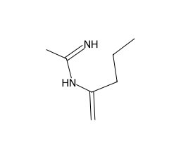 C=C(CCC)NC(C)=N